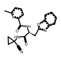 Cc1cccc(C(=O)N[C@@H](Cc2nc3ccccc3o2)C(=O)NC2(C#N)CC2)n1